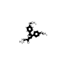 CNC(=O)c1cc(-c2ccc(SC)cc2)c(-c2ccc(SC)cc2)s1